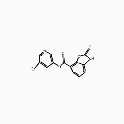 O=C(Oc1cncc(Cl)c1)c1cccc2[nH]c(=O)oc12